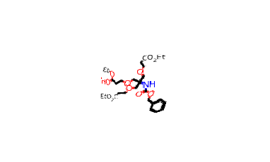 CCOC(=O)CCOCC(COCCC(=O)OCC)(COCCC(O)OCC)NC(=O)OCc1ccccc1